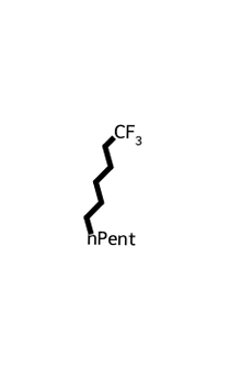 [CH2]CCCCCCCCCC(F)(F)F